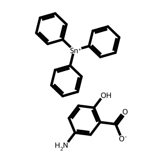 Nc1ccc(O)c(C(=O)[O-])c1.c1cc[c]([Sn+]([c]2ccccc2)[c]2ccccc2)cc1